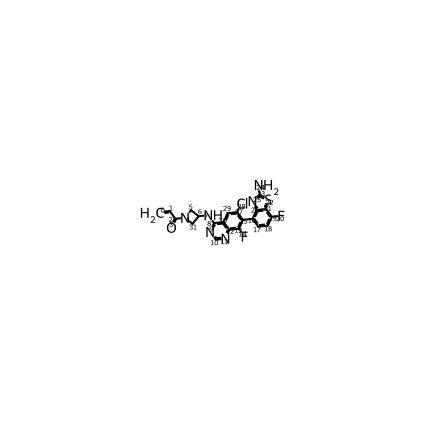 C=CC(=O)N1CC(Nc2ncnc3c(F)c(-c4ccc(F)c5sc(N)nc45)c(Cl)cc23)C1